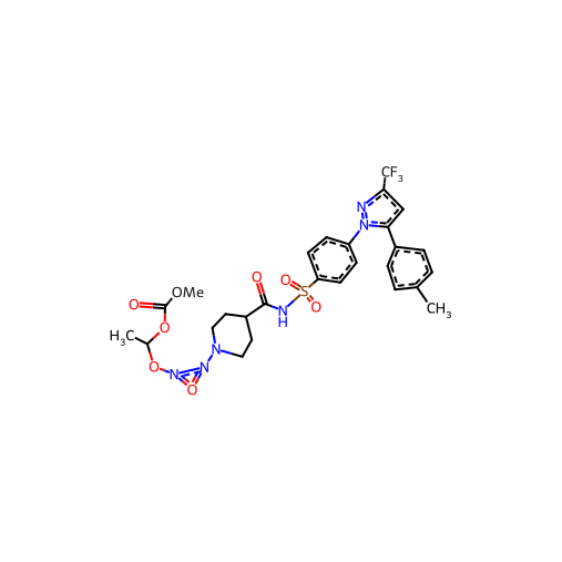 COC(=O)OC(C)On1on1N1CCC(C(=O)NS(=O)(=O)c2ccc(-n3nc(C(F)(F)F)cc3-c3ccc(C)cc3)cc2)CC1